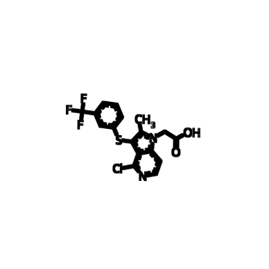 Cc1c(Sc2cccc(C(F)(F)F)c2)c2c(Cl)nccc2n1CC(=O)O